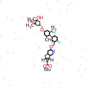 Cc1cc(OC[C@@H]2C[C@](C)(O)[C@](C)(O)C2)cc(C)c1-c1cc(COc2cc3c(cn2)[C@H]2[C@@H](C3)[C@@H]2C(=O)OC(C)(C)C)c(F)cc1F